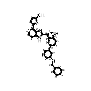 Cc1ccc(-c2nccc3[nH]c(-c4n[nH]c5ccc(-c6cncc(OCc7ccccc7)c6)nc45)nc23)s1